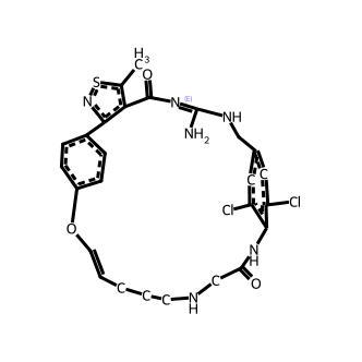 Cc1snc2c1C(=O)/N=C(\N)NCc1cc(Cl)c(c(Cl)c1)NC(=O)CNCCCC=COc1ccc-2cc1